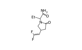 CCC(C(N)=O)N1CC(C=C(F)F)CC1=O